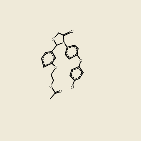 CC(=O)OCCOc1cccc(C2SCC(=O)N2c2ccc(Oc3ccc(Cl)cc3)cc2)c1